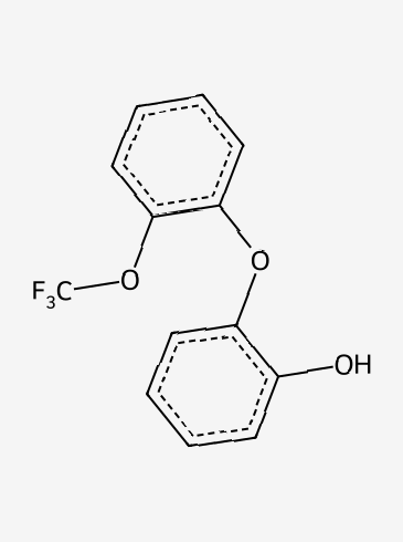 Oc1ccccc1Oc1ccccc1OC(F)(F)F